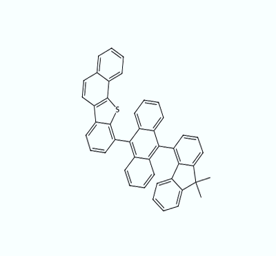 CC1(C)c2ccccc2-c2c(-c3c4ccccc4c(-c4cccc5c4sc4c6ccccc6ccc54)c4ccccc34)cccc21